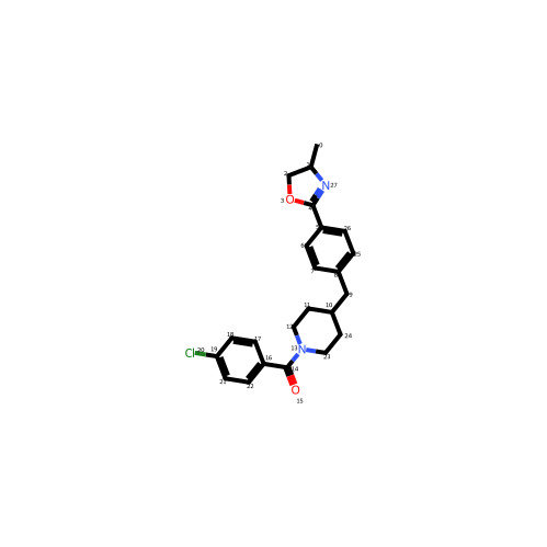 CC1COC(c2ccc(CC3CCN(C(=O)c4ccc(Cl)cc4)CC3)cc2)=N1